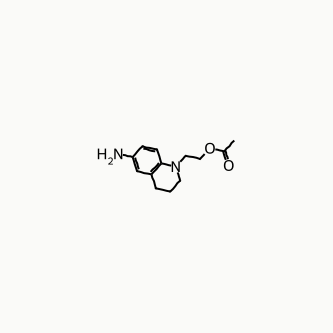 CC(=O)OCCN1CCCc2cc(N)ccc21